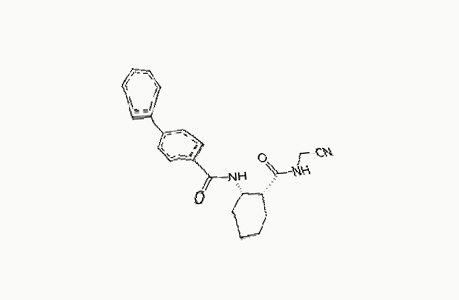 N#CCNC(=O)[C@@H]1CCCC[C@@H]1NC(=O)c1ccc(-c2ccccc2)cc1